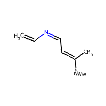 C=C/N=C\C=C(/C)NC